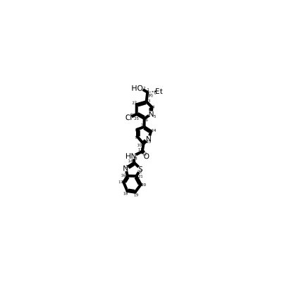 CC[C@@H](O)c1cnc(-c2ccc(C(=O)Nc3nc4ccccc4s3)nc2)c(Cl)c1